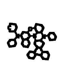 c1ccc(N2c3cc4c5ccccc5c5ccccc5c4cc3B3c4c(cccc42)Oc2cc(N(c4ccccc4)c4ccccc4)c4ccccc4c23)cc1